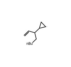 C=CC(CCCCC)C1[CH]C1